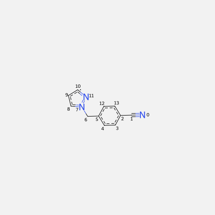 N#Cc1ccc(Cn2cc[c]n2)cc1